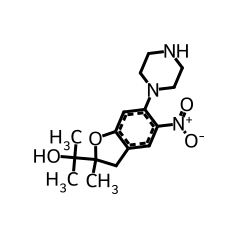 CC(C)(O)C1(C)Cc2cc([N+](=O)[O-])c(N3CCNCC3)cc2O1